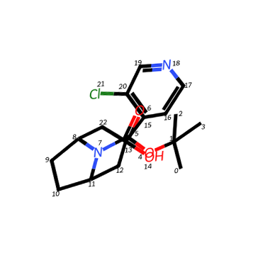 CC(C)(C)OC(=O)N1C2CCC1CC(O)(c1ccncc1Cl)C2